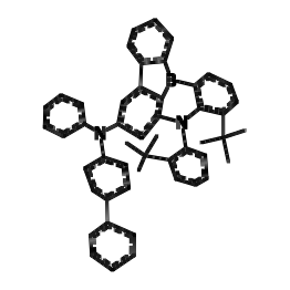 CC(C)(C)c1ccccc1N1c2cc(N(c3ccccc3)c3ccc(-c4ccccc4)cc3)cc3c2B(c2ccccc2-3)c2cccc(C(C)(C)C)c21